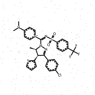 C[C@@H]1[C@H](c2cccs2)C(c2ccc(Cl)cc2)=NN1/C(=N\S(=O)(=O)c1ccc(C(F)(F)F)cc1)[n+]1ccc(N(C)C)cc1